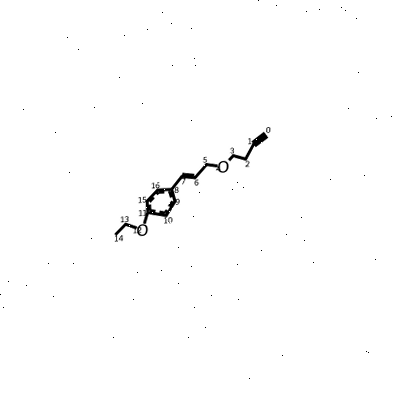 C#CCCOC/C=C/c1ccc(OCC)cc1